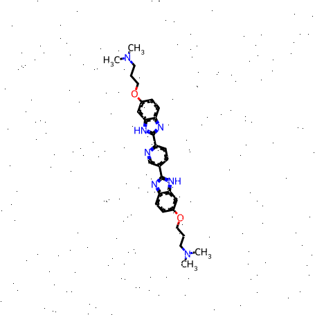 CN(C)CCCOc1ccc2nc(-c3ccc(-c4nc5ccc(OCCCN(C)C)cc5[nH]4)nc3)[nH]c2c1